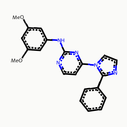 COc1cc(Nc2nccc(-n3ccnc3-c3ccccc3)n2)cc(OC)c1